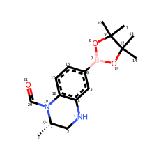 C[C@H]1CNc2cc(B3OC(C)(C)C(C)(C)O3)ccc2N1C=O